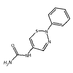 NC(=O)NC1=CSN(c2ccccc2)N=C1